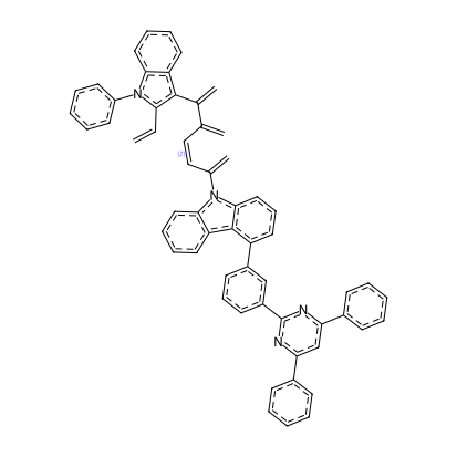 C=Cc1c(C(=C)C(=C)/C=C\C(=C)n2c3ccccc3c3c(-c4cccc(-c5nc(-c6ccccc6)cc(-c6ccccc6)n5)c4)cccc32)c2ccccc2n1-c1ccccc1